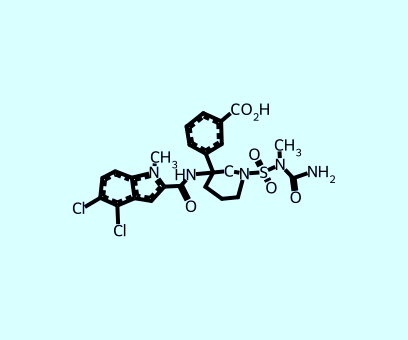 CN(C(N)=O)S(=O)(=O)N1CCCC(NC(=O)c2cc3c(Cl)c(Cl)ccc3n2C)(c2cccc(C(=O)O)c2)C1